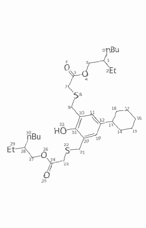 CCCCC(CC)COC(=O)CSCc1cc(C2CCCCC2)cc(CSCC(=O)OCC(CC)CCCC)c1O